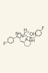 CC1[C@]23Cn4cnc(-c5ccc(F)cc5)c4C=C2CCC[C@@H]3[C@]1(O)Cc1ccc(F)cc1